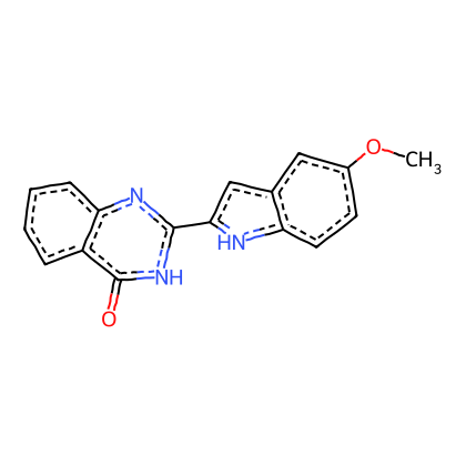 COc1ccc2[nH]c(-c3nc4ccccc4c(=O)[nH]3)cc2c1